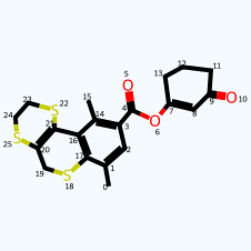 Cc1cc(C(=O)OC2=CC(=O)CCC2)c(C)c2c1SCC1=C2SCCS1